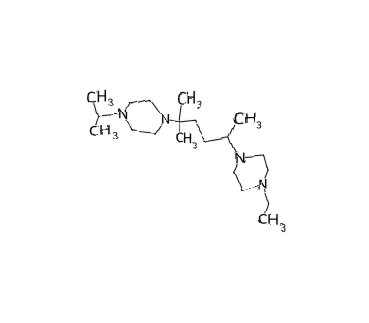 CCN1CCN(C(C)CCC(C)(C)N2CCN(C(C)C)CC2)CC1